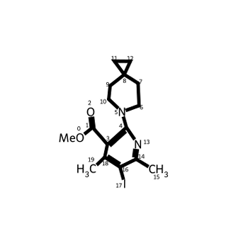 COC(=O)c1c(N2CCC3(CC2)CC3)nc(C)c(I)c1C